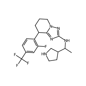 CC(Nc1nc2n(n1)CCCC2c1ccc(C(F)(F)F)cc1F)C1CCNC1